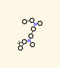 CC1(C)c2ccccc2-c2cc(N(c3ccccc3)c3ccc(-c4ccc(N(c5ccccc5)c5cccc(-c6ccccc6)c5)cc4)cc3)ccc21